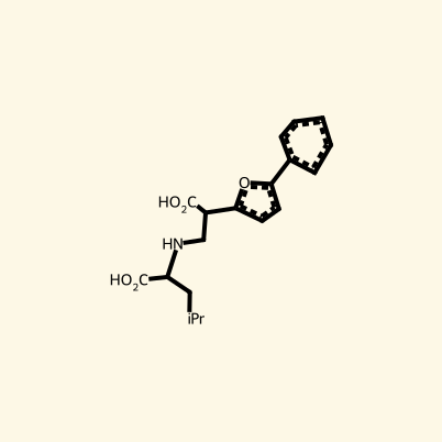 CC(C)CC(NCC(C(=O)O)c1ccc(-c2ccccc2)o1)C(=O)O